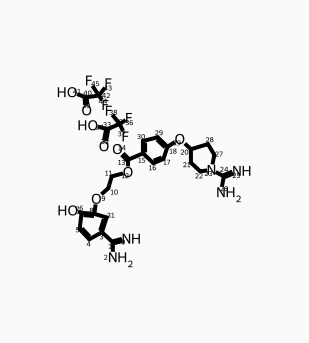 N=C(N)c1ccc(O)c(OCCOC(=O)c2ccc(OC3CCN(C(=N)N)CC3)cc2)c1.O=C(O)C(F)(F)F.O=C(O)C(F)(F)F